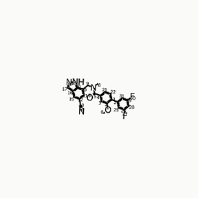 COc1cc(C(=O)N(C)Cc2cc(C#N)cc3cn[nH]c23)ccc1-c1cc(F)cc(F)c1